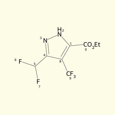 CCOC(=O)c1[nH]nc(C(F)F)c1C(F)(F)F